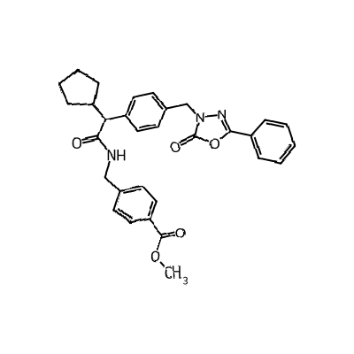 COC(=O)c1ccc(CNC(=O)C(c2ccc(Cn3nc(-c4ccccc4)oc3=O)cc2)C2CCCC2)cc1